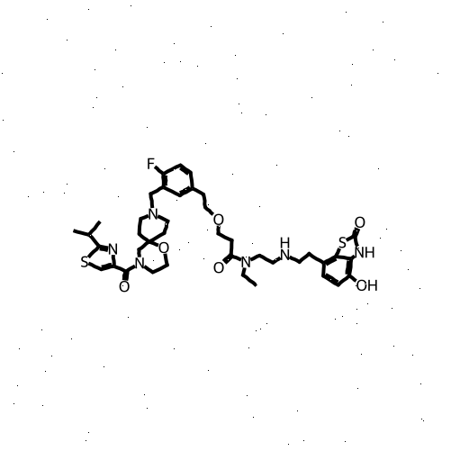 CCN(CCNCCc1ccc(O)c2[nH]c(=O)sc12)C(=O)CCOCCc1ccc(F)c(CN2CCC3(CC2)CN(C(=O)c2csc(C(C)C)n2)CCO3)c1